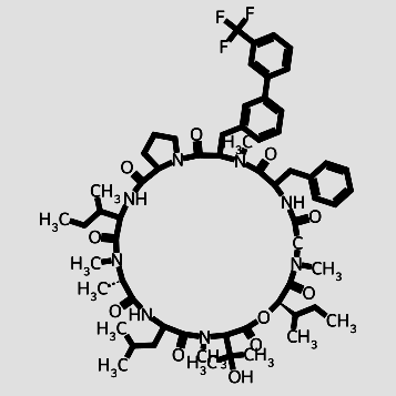 CCC(C)C1NC(=O)C2CCCN2C(=O)C(Cc2cccc(-c3cccc(C(F)(F)F)c3)c2)N(C)C(=O)C(Cc2ccccc2)NC(=O)CN(C)C(=O)[C@@H](C(C)CC)OC(=O)C(C(C)(C)O)N(C)C(=O)C(CC(C)C)NC(=O)[C@H](C)N(C)C1=O